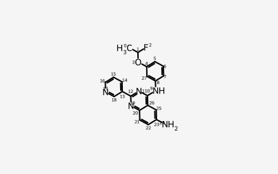 CC(F)Oc1cccc(Nc2nc(-c3cccnc3)nc3ccc(N)cc23)c1